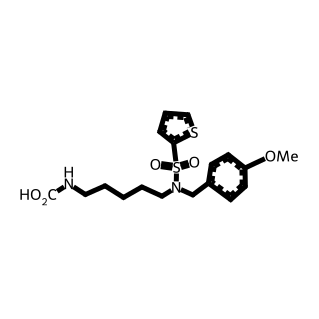 COc1ccc(CN(CCCCCNC(=O)O)S(=O)(=O)c2cccs2)cc1